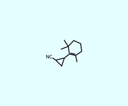 CC1=C(C2CC2C#N)C(C)(C)CCC1